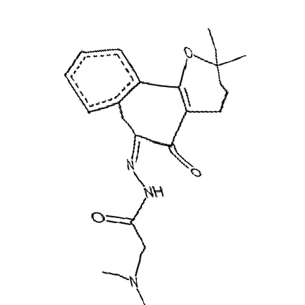 CN(C)CC(=O)NN=C1C(=O)C2=C(OC(C)(C)CC2)c2ccccc21